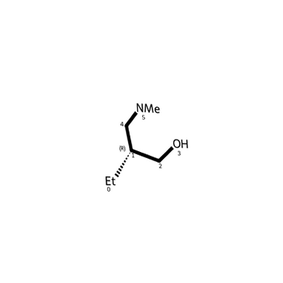 CC[C@@H](CO)CNC